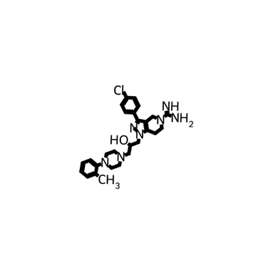 Cc1ccccc1N1CCN(CC(O)Cn2nc(-c3ccc(Cl)cc3)c3c2CCN(C(=N)N)C3)CC1